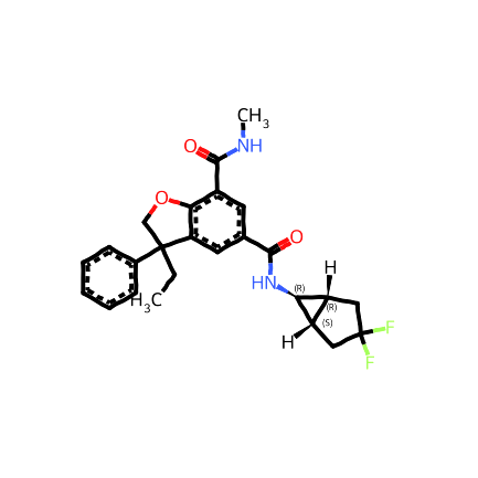 CCC1(c2ccccc2)COc2c(C(=O)NC)cc(C(=O)N[C@H]3[C@@H]4CC(F)(F)C[C@@H]43)cc21